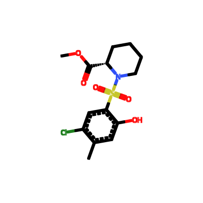 COC(=O)[C@@H]1CCCCN1S(=O)(=O)c1cc(Cl)c(C)cc1O